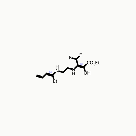 C=C/C=C(\CC)NCCN/C(=C(\O)C(=O)OCC)C(F)F